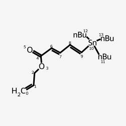 C=CCOC(=O)C=CC=[CH][Sn]([CH2]CCC)([CH2]CCC)[CH2]CCC